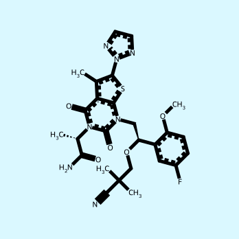 COc1ccc(F)cc1[C@H](Cn1c(=O)n([C@@H](C)C(N)=O)c(=O)c2c(C)c(-n3nccn3)sc21)OCC(C)(C)C#N